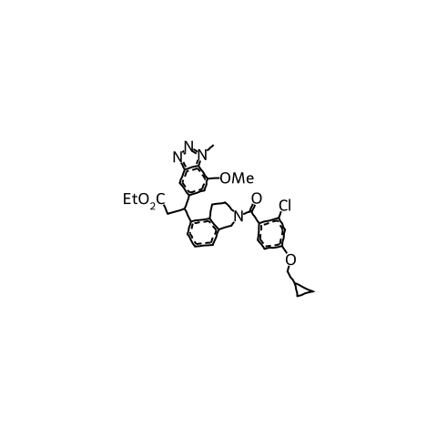 CCOC(=O)CC(c1cc(OC)c2c(c1)nnn2C)c1cccc2c1CCN(C(=O)c1ccc(OCC3CC3)cc1Cl)C2